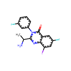 CC(N)c1nc2c(I)cc(F)cc2c(=O)n1-c1cccc(F)c1